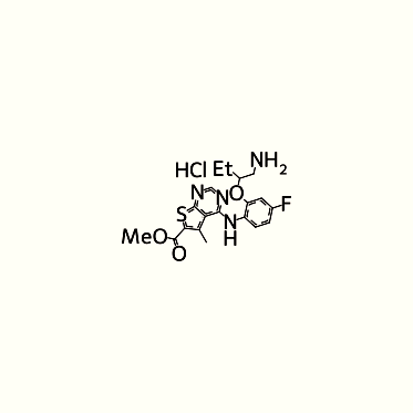 CCC(CN)Oc1cc(F)ccc1Nc1ncnc2sc(C(=O)OC)c(C)c12.Cl